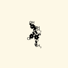 COCCOc1ccc(N2CCN(C[C@@](C)(O)c3ccc(CO)nc3)C[C@H]2c2ccc(Cl)cc2)c(C#N)c1